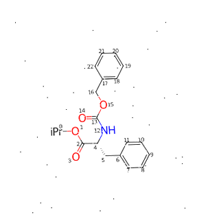 CC(C)OC(=O)[C@@H](Cc1ccccc1)NC(=O)OCc1ccccc1